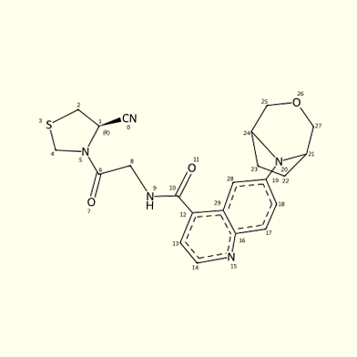 N#C[C@@H]1CSCN1C(=O)CNC(=O)c1ccnc2ccc(N3C4CCC3COC4)cc12